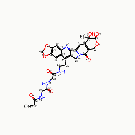 CC[C@@]1(O)C(=O)OCc2c1cc1n(c2=O)Cc2c-1nc1cc3c(cc1c2CCNC(=O)CNC(=O)CNC(=O)CN=O)OCO3